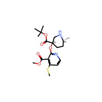 COC(=O)c1c(SC)ccnc1O[C@]1(C(=O)OC(C)(C)C)CC[C@@H](C)NC1